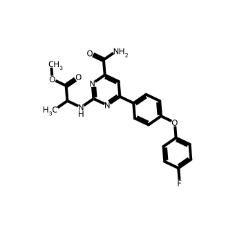 COC(=O)C(C)Nc1nc(C(N)=O)cc(-c2ccc(Oc3ccc(F)cc3)cc2)n1